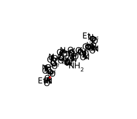 CCN1C[C@@H](COP(=O)(N(C)C)N2C[C@@H](COP(=O)(N(C)C)N3C[C@@H](COP(=O)(N(C)C)N4C[C@@H](COP(=O)(N(C)C)N5C[C@@H](COP(=O)(N(C)C)N6C[C@@H](COP(=O)(N(C)C)N7C[C@@H](COP(=O)(CC)N(C)C)O[C@@H](C)C7)O[C@@H](C)C6)O[C@@H](n6ccc(N)nc6=O)C5)O[C@@H](C)C4)O[C@@H](C)C3)O[C@@H](C)C2)O[C@@H](C)C1